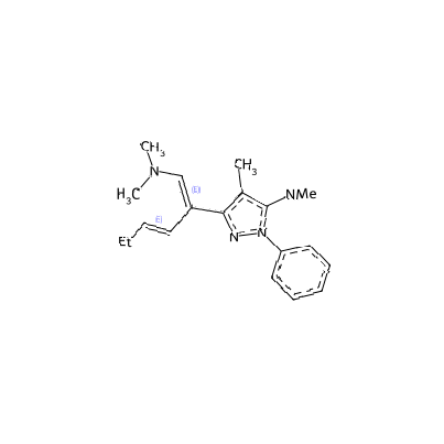 CC/C=C/C(=C\N(C)C)c1nn(-c2ccccc2)c(NC)c1C